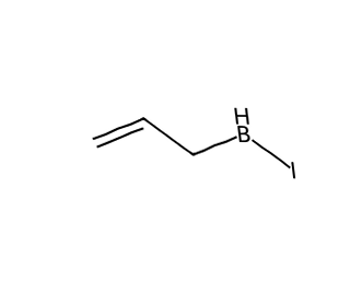 C=CCBI